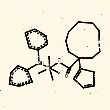 [CH3][Ti]([CH3])([CH3])([CH3])([NH]C(=O)C1(C2=CC=CC2)CCCCCCCCC1)[SiH](c1ccccc1)c1ccccc1